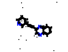 C(#Cc1[c]nc2ccccc2n1)c1cccnc1